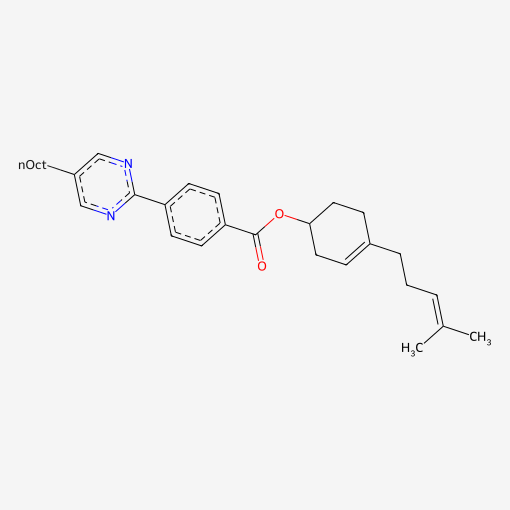 CCCCCCCCc1cnc(-c2ccc(C(=O)OC3CC=C(CCC=C(C)C)CC3)cc2)nc1